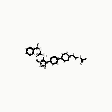 CC(=O)OCCC1CCC(c2ccc(-c3nnn(C)c3NC(=O)O[C@H](C)c3ccccc3)cc2)CC1